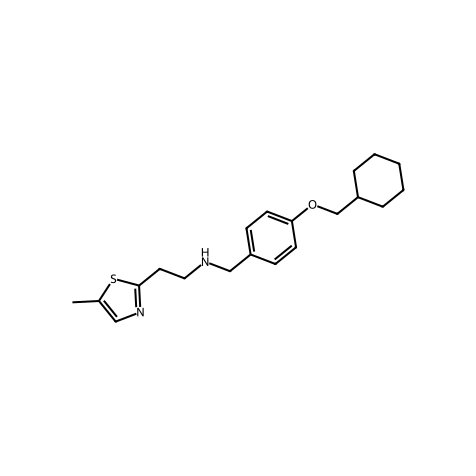 Cc1cnc(CCNCc2ccc(OCC3CCCCC3)cc2)s1